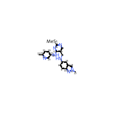 CSc1ncc(CNc2ccc3nn(C)cc3c2)c(Nc2ccc(C)nc2)n1